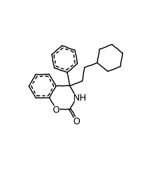 O=C1NC(CCC2CCCCC2)(c2ccccc2)c2ccccc2O1